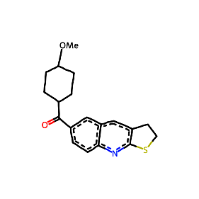 COC1CCC(C(=O)c2ccc3nc4c(cc3c2)CCS4)CC1